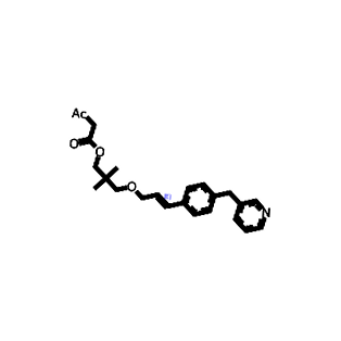 CC(=O)CC(=O)OCC(C)(C)COC/C=C/c1ccc(Cc2cccnc2)cc1